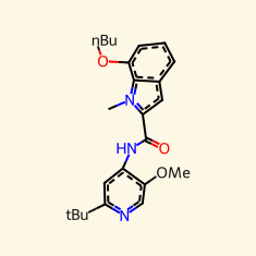 CCCCOc1cccc2cc(C(=O)Nc3cc(C(C)(C)C)ncc3OC)n(C)c12